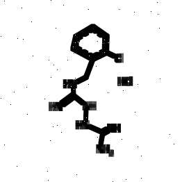 Cl.N=C(N)NNC(=N)NCc1ccccc1Cl